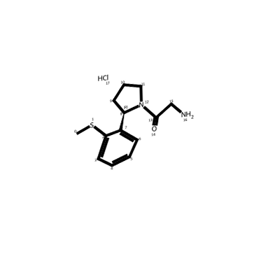 CSc1ccccc1[C@H]1CCCN1C(=O)CN.Cl